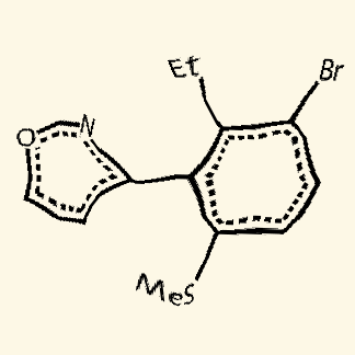 CCc1c(Br)ccc(SC)c1-c1ccon1